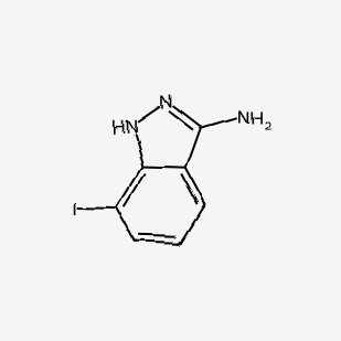 Nc1n[nH]c2c(I)cccc12